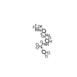 O=C(Nc1ccc(F)c(NC(=O)C(F)(F)F)c1F)c1cc(NC(=O)C2[C@H](c3ccc(Cl)c(Cl)c3)C2(Cl)Cl)cc(F)c1Cl